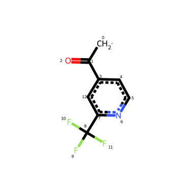 [CH2]C(=O)c1ccnc(C(F)(F)F)c1